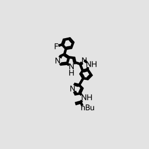 C=C(CCCC)Nc1cncc(-c2ccc3[nH]nc(-c4cc5c(-c6ccccc6F)cncc5[nH]4)c3c2)c1